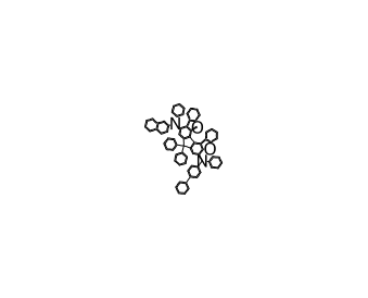 c1ccc(-c2ccc(N(c3ccccc3)c3cc4c(c5c3oc3ccccc35)-c3c(cc(N(c5ccccc5)c5ccc6ccccc6c5)c5c3oc3ccccc35)C4(c3ccccc3)c3ccccc3)cc2)cc1